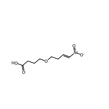 O=C(O)CCCOCC/C=C/[N+](=O)[O-]